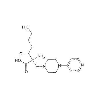 CCCCC(=O)C(N)(CN1CCN(c2ccncc2)CC1)C(=O)O